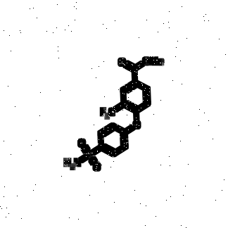 COC(=O)c1ccc(Oc2ccc(S(N)(=O)=O)cc2)c(C(F)(F)F)c1